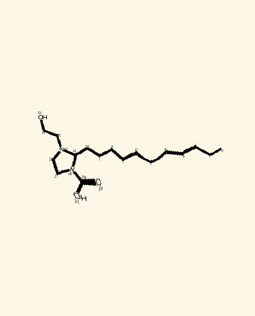 CCCCCCCCCCCC1N(CCO)CCN1C(=O)O